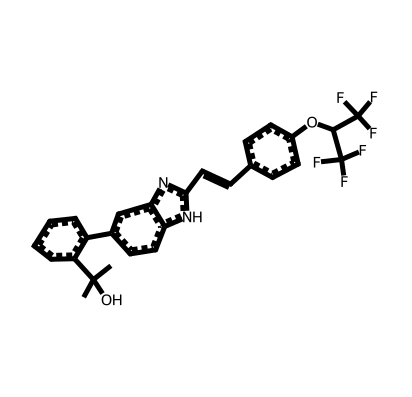 CC(C)(O)c1ccccc1-c1ccc2[nH]c(C=Cc3ccc(OC(C(F)(F)F)C(F)(F)F)cc3)nc2c1